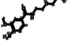 COc1cc(C(=O)NCCOCCO)ccc1N